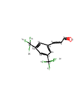 O=[C]/C=C/c1cc(C(F)(F)F)cc(C(F)(F)F)c1